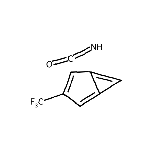 FC(F)(F)c1cc2cc-2c1.N=C=O